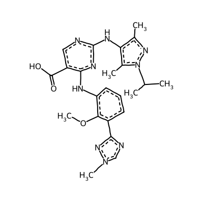 COc1c(Nc2nc(Nc3c(C)nn(C(C)C)c3C)ncc2C(=O)O)cccc1-c1ncn(C)n1